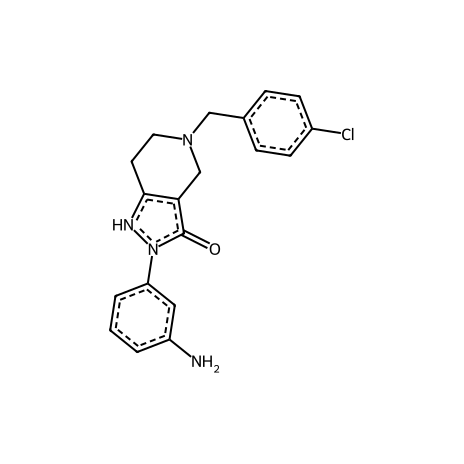 Nc1cccc(-n2[nH]c3c(c2=O)CN(Cc2ccc(Cl)cc2)CC3)c1